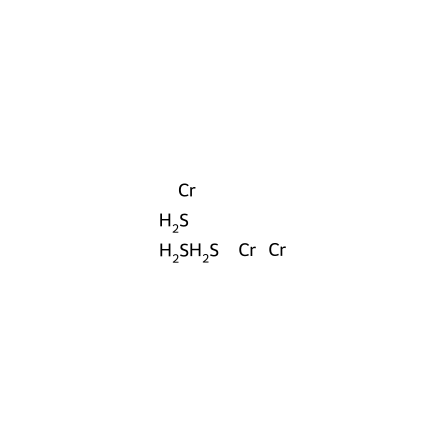 S.S.S.[Cr].[Cr].[Cr]